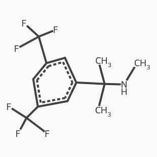 CNC(C)(C)c1cc(C(F)(F)F)cc(C(F)(F)F)c1